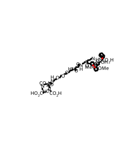 COc1cccc(OC)c1-c1cc(C(O)NC2(C(=O)O)C3CC4CC(C3)CC2C4)nn1-c1ccc(C(=O)N(CCCNC(=O)CCC(=O)NCCCOCCOCCOCCCNC(=O)CN2CCN(CC(=O)O)CCN(CC(=O)O)CCN(CC(=O)O)CC2)CCCN(C)C)cc1C(C)C